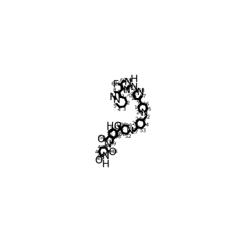 C[C@@H]1CCCCn2ncc(-c3nc(Nc4ccc(C5CCN(CC6CCC(CN7CCC(O)(c8ccc9c(c8)CN(C8CCC(=O)NC8=O)C9=O)CC7)CC6)CC5)cn4)ncc3F)c21